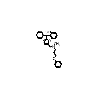 CN(CCCOc1ccccc1)Cc1cnc([C@](O)(c2ccccc2)C2CCCCC2)o1